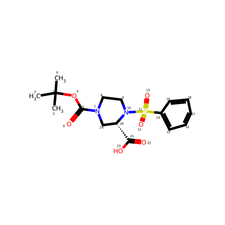 CC(C)(C)OC(=O)N1CCN(S(=O)(=O)c2ccccc2)[C@H](C(=O)O)C1